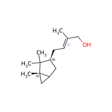 C/C(=C\C[C@H]1CC2C[C@]2(C)C1(C)C)CO